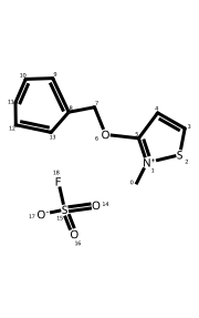 C[n+]1sccc1OCc1ccccc1.O=S(=O)([O-])F